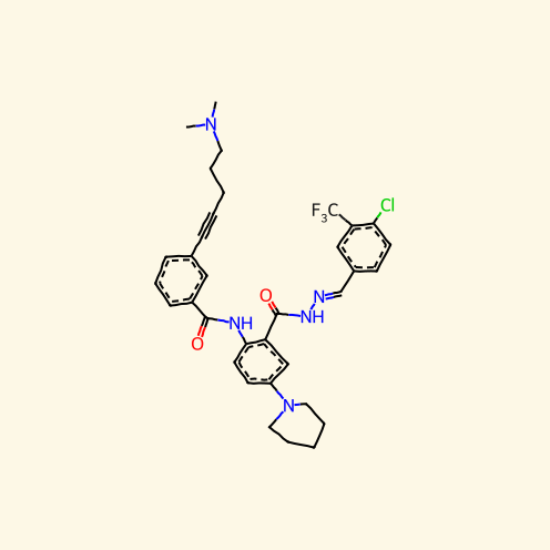 CN(C)CCCC#Cc1cccc(C(=O)Nc2ccc(N3CCCCC3)cc2C(=O)N/N=C/c2ccc(Cl)c(C(F)(F)F)c2)c1